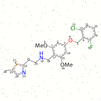 COc1cc(OCc2c(F)cccc2Cl)cc(OC)c1CNCCc1ncc(C)s1